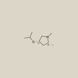 CC(C)O[C@H]1C[C@@H](C)N(C)C1